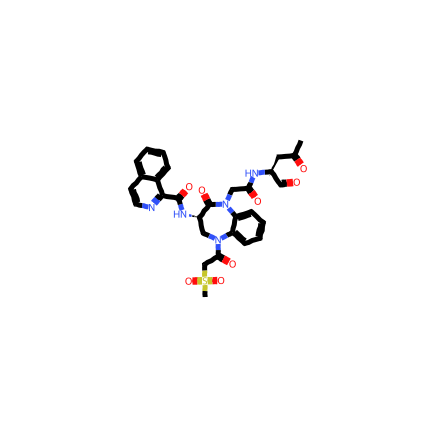 CC(=O)C[C@@H](C=O)NC(=O)CN1C(=O)[C@@H](NC(=O)c2nccc3ccccc23)CN(C(=O)CS(C)(=O)=O)c2ccccc21